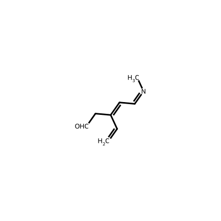 C=C/C(=C\C=N/C)CC=O